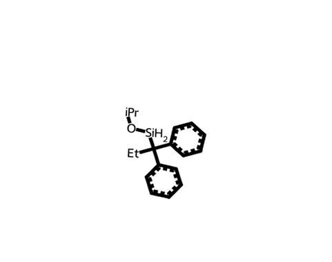 CCC([SiH2]OC(C)C)(c1ccccc1)c1ccccc1